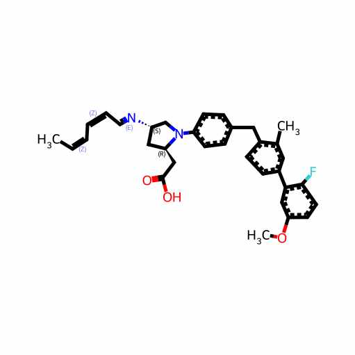 C\C=C/C=C\C=N\[C@H]1C[C@H](CC(=O)O)N(c2ccc(Cc3ccc(-c4cc(OC)ccc4F)cc3C)cc2)C1